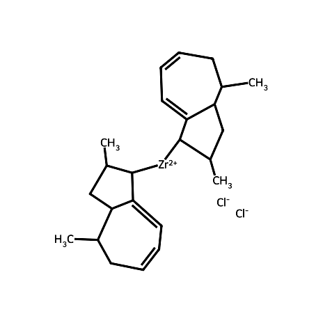 CC1CC=CC=C2C1CC(C)[CH]2[Zr+2][CH]1C2=CC=CCC(C)C2CC1C.[Cl-].[Cl-]